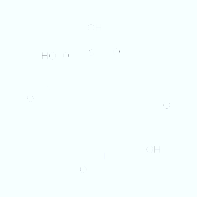 O=Ic1cc(C(=O)O)c(S(=O)(=O)O)cc1C(=O)O